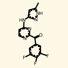 Cc1cc(Nc2ccnc(C(=O)c3cc(F)c(F)c(F)c3)n2)n[nH]1